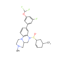 CCCN1CCN2c3ccc(-c4cc(F)cc(OC(F)F)c4)cc3N([S+]([O-])C3C=CCC(C(F)(F)F)C3)CC2C1